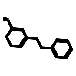 CC(C)C1=CC(CCc2ccccc2)=CCC1